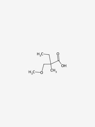 CCC(C)(COC)C(=O)O